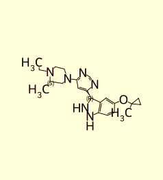 CCN1CCN(c2cc([C@@H]3NNc4ccc(OC5(C)CC5)cc43)ncn2)C[C@@H]1C